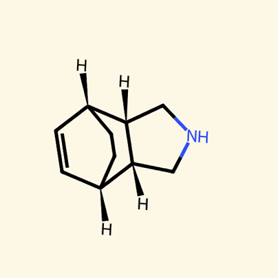 C1=C[C@H]2CC[C@@H]1[C@H]1CNC[C@H]12